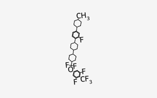 CC1CCC(c2ccc(C3CCC(C4CCC(C(F)(F)Oc5cc(F)c(C(F)(F)F)c(F)c5)CC4)CC3)c(F)c2)CC1